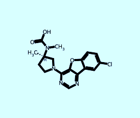 CN(C(=O)O)[C@]1(C)CCN(c2ncnc3c2oc2ccc(Cl)cc23)C1